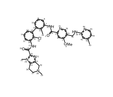 COc1cc(C(=O)Nc2cccc(-c3cccc(NC(=O)c4nc5c(n4C)CCN(C)C5)c3Cl)c2C)ncc1CNc1cc(C)ccn1